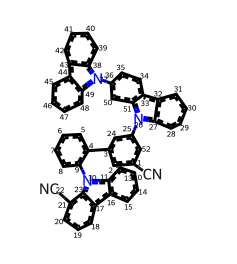 N#Cc1cc(-c2ccccc2-n2c3ccccc3c3cccc(C#N)c32)cc(-n2c3ccccc3c3ccc(-n4c5ccccc5c5ccccc54)cc32)c1